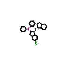 C1=CCC2CC[CH]([Ti+2][CH]3C(P(c4ccccc4)c4ccccc4)=Cc4ccccc43)C2=C1.[F-].[F-]